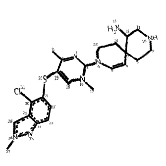 CC1=NC(N2C=CC3(CCNCC3N)CC2)N(C)C=C1Sc1ccc2nn(C)cc2c1Cl